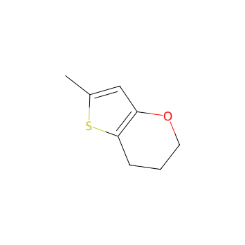 Cc1cc2c(s1)CCCO2